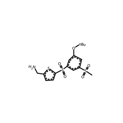 CCCCOc1cc(S(C)(=O)=O)cc(S(=O)(=O)c2ccc(CN)s2)c1